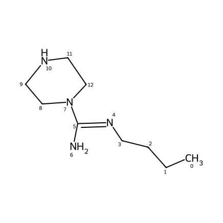 CCCCN=C(N)N1CCNCC1